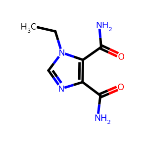 CCn1cnc(C(N)=O)c1C(N)=O